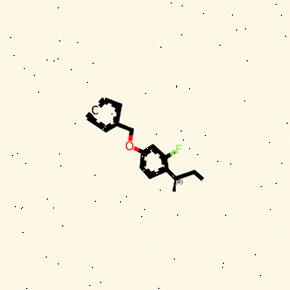 CC[C@@H](C)c1ccc(OCc2ccccc2)cc1F